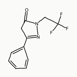 O=C1CC(c2ccccc2)=NN1CC(F)(F)F